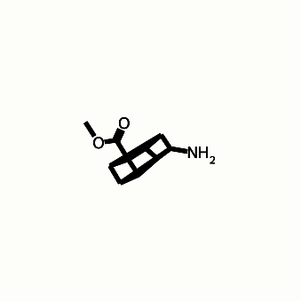 COC(=O)C12C3C4C1C1C2C3C41N